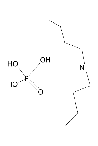 CCC[CH2][Ni][CH2]CCC.O=P(O)(O)O